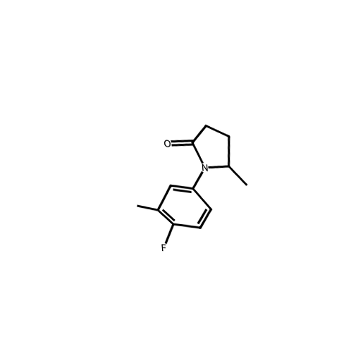 Cc1cc(N2C(=O)CCC2C)ccc1F